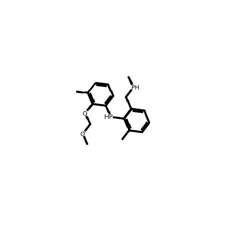 COCOc1c(C)cccc1Pc1c(C)cccc1CPC